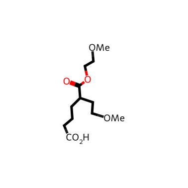 COCCOC(=O)C(CCCC(=O)O)CCOC